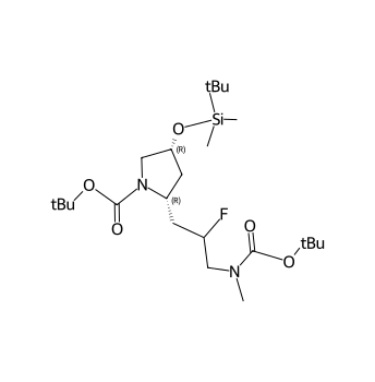 CN(CC(F)C[C@H]1C[C@@H](O[Si](C)(C)C(C)(C)C)CN1C(=O)OC(C)(C)C)C(=O)OC(C)(C)C